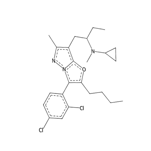 CCCCc1oc2c(CC(CC)N(C)C3CC3)c(C)nn2c1-c1ccc(Cl)cc1Cl